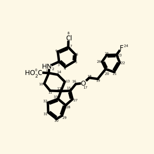 O=C(O)C1(Nc2cccc(Cl)c2)CCC2(CC1)C(COCCc1ccc(F)cc1)=Cc1ccccc12